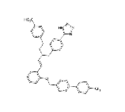 O=C(O)c1ccc(CCC(C=Cc2ccccc2OCc2ccc(-c3ccc(C(F)(F)F)cc3)cc2)Cc2ccc(-c3nnn[nH]3)cc2)cc1